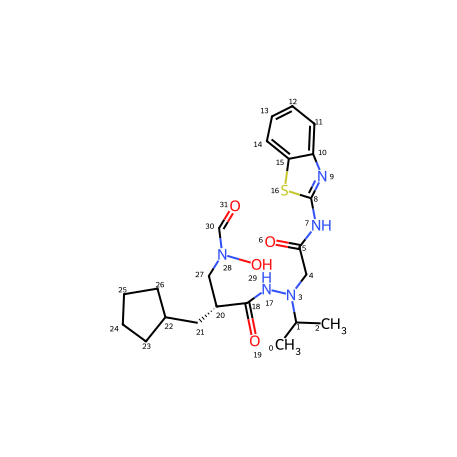 CC(C)N(CC(=O)Nc1nc2ccccc2s1)NC(=O)[C@H](CC1CCCC1)CN(O)C=O